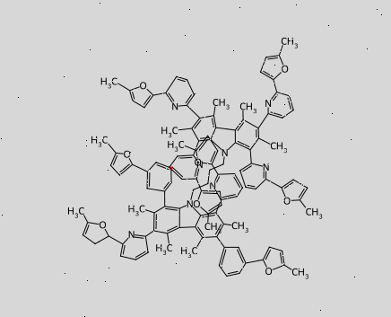 CC1=CCC(c2cccc(-c3c(C)c(-c4cccc(-c5ccc(C)o5)c4)c4c(c3C)c3c(C)c(-c5cccc(-c6ccc(C)o6)c5)c(C)c(-c5cccc(-c6ccc(C)o6)n5)c3n4CCCCn3c4c(-c5cccc(-c6ccc(C)o6)n5)c(C)c(-c5cccc(-c6ccc(C)o6)n5)c(C)c4c4c(C)c(-c5cccc(-c6ccc(C)o6)n5)c(C)c(-c5cccc(-c6ccc(C)o6)n5)c43)n2)O1